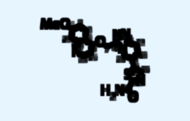 COc1ccc2c(OCc3nnc4ccc(-c5cnc(C(N)=O)s5)cn34)ccnc2c1